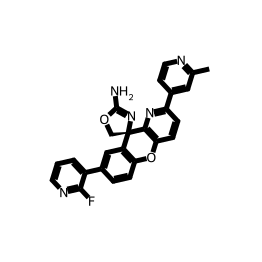 Cc1cc(-c2ccc3c(n2)[C@]2(COC(N)=N2)c2cc(-c4cccnc4F)ccc2O3)ccn1